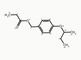 CCC(=O)OCc1ccc(OC(C)CC)cc1